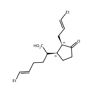 CCC=CCCC(C(=O)O)[C@@H]1CCC(=O)[C@@H]1CC=CCC